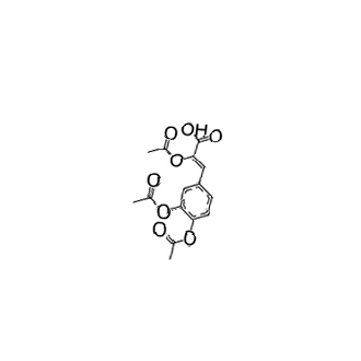 CC(=O)O/C(=C\c1ccc(OC(C)=O)c(OC(C)=O)c1)C(=O)O